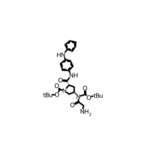 CC(C)(C)OC(=O)N1C[C@H](N(C(=O)CN)C(=O)OC(C)(C)C)C[C@H]1C(=O)Nc1ccc(Nc2ccccc2)cc1